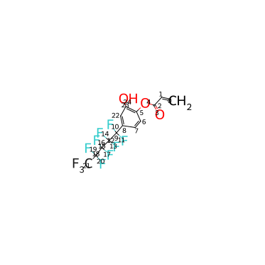 C=CC(=O)Oc1ccc(C(F)(F)C(F)(F)C(F)(F)C(F)(F)C(F)(F)F)cc1O